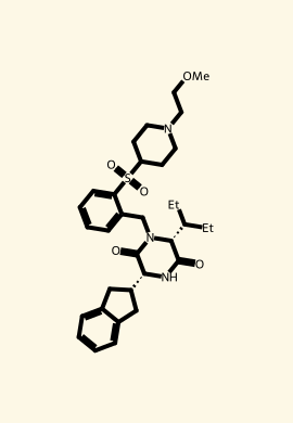 CCC(CC)[C@@H]1C(=O)N[C@H](C2Cc3ccccc3C2)C(=O)N1Cc1ccccc1S(=O)(=O)C1CCN(CCOC)CC1